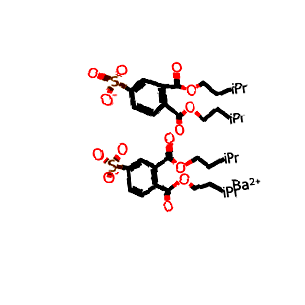 CC(C)CCOC(=O)c1ccc(S(=O)(=O)[O-])cc1C(=O)OCCC(C)C.CC(C)CCOC(=O)c1ccc(S(=O)(=O)[O-])cc1C(=O)OCCC(C)C.[Ba+2]